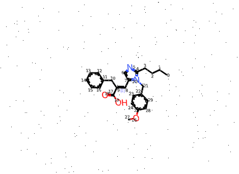 CCCCc1ncc(/C=C(\Cc2ccccc2)C(=O)O)n1Cc1ccc(OC)cc1